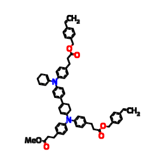 C=Cc1ccc(COC(=O)CCc2ccc(N(C3=CCCC=C3)c3ccc(C4=CC=C(N(c5ccc(CCC(=O)OC)cc5)c5ccc(CCC(=O)OCc6ccc(C=C)cc6)cc5)CC4)cc3)cc2)cc1